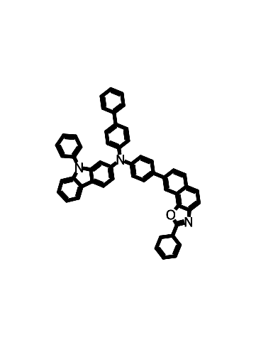 C1=CCC(c2nc3ccc4ccc(-c5ccc(N(c6ccc(-c7ccccc7)cc6)c6ccc7c8ccccc8n(-c8ccccc8)c7c6)cc5)cc4c3o2)C=C1